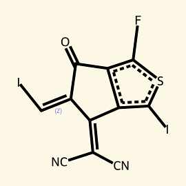 N#CC(C#N)=C1/C(=C/I)C(=O)c2c(F)sc(I)c21